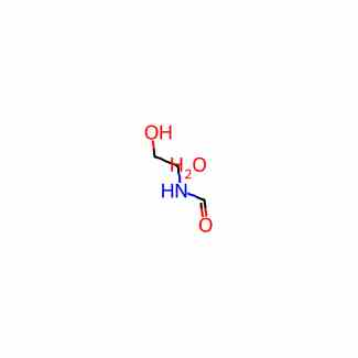 O.O=CNCCO